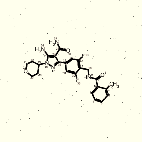 Cc1ccccc1C(=O)NCc1c(F)cc(-c2nn(C3CCOCC3)c(N)c2C(N)=O)cc1F